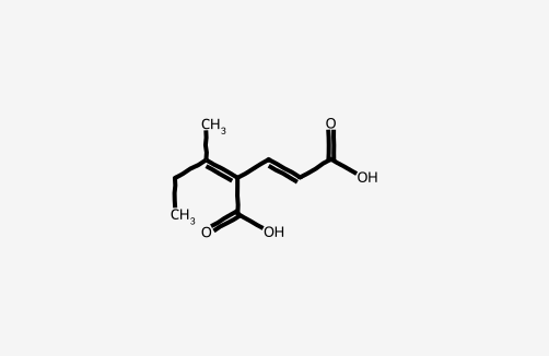 CCC(C)=C(C=CC(=O)O)C(=O)O